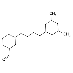 CC1CC(C)CC(CCCCC2CCCC(C=O)C2)C1